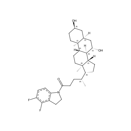 C[C@H](CCC(=O)N1CCc2c1ccc(F)c2F)[C@H]1CC[C@H]2[C@@H]3[C@@H](O)C[C@@H]4C[C@H](O)CC[C@]4(C)[C@H]3CC[C@]12C